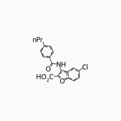 CCCc1ccc(C(=O)Nc2c(C(=O)O)oc3ccc(Cl)cc23)cc1